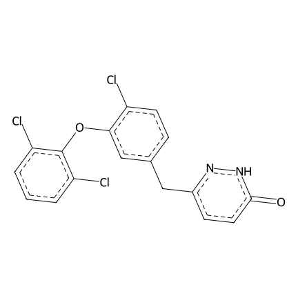 O=c1ccc(Cc2ccc(Cl)c(Oc3c(Cl)cccc3Cl)c2)n[nH]1